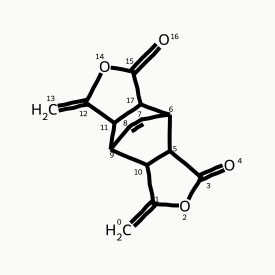 C=C1OC(=O)C2C3C=CC(C12)C1C(=C)OC(=O)C31